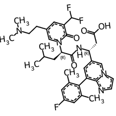 Cc1cc(F)cc(C)c1-c1cc([C@@H](CC(=O)O)NC(=O)[C@@H](CC(C)C)n2cc(CCN(C)C)cc(C(F)F)c2=O)cn2ccnc12